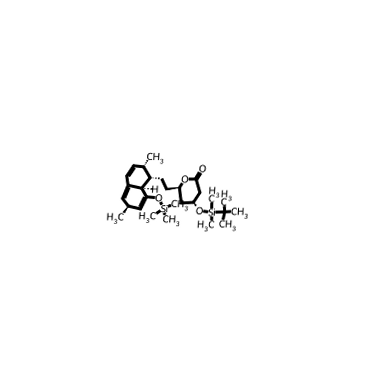 C[C@H]1C=C2C=C[C@H](C)[C@H](CC[C@@H]3C[C@@H](O[Si](C)(C)C(C)(C)C)CC(=O)O3)[C@H]2C(O[Si](C)(C)C)=C1